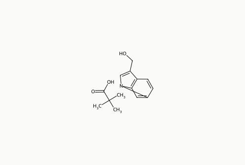 CC(C)(C)C(=O)O.OCc1cn2c3cc-2ccc13